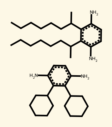 CCCCCCC(C)c1c(N)ccc(N)c1C(C)CCCCCC.Nc1ccc(N)c(C2CCCCC2)c1C1CCCCC1